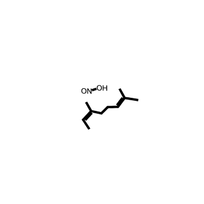 CC=C(C)CCC=C(C)C.O=NO